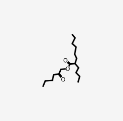 CCCCCCC(CCCC)C(=O)OCC(=O)CCCC